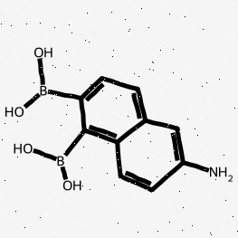 Nc1ccc2c(B(O)O)c(B(O)O)ccc2c1